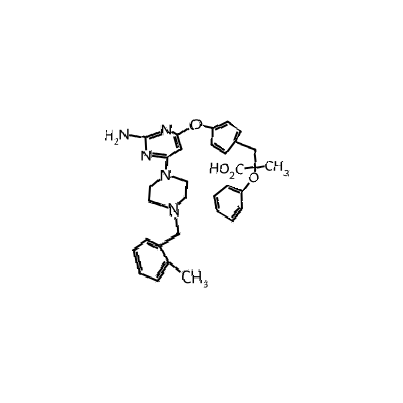 Cc1ccccc1CN1CCN(c2cc(Oc3ccc(CC(C)(Oc4ccccc4)C(=O)O)cc3)nc(N)n2)CC1